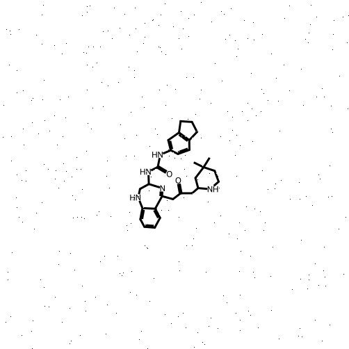 CC1(C)CCNC(CC(=O)CC2=NC(NC(=O)Nc3ccc4c(c3)CCC4)CNc3ccccc32)C1